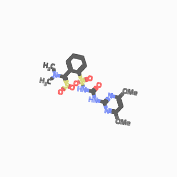 COc1cc(OC)nc(NC(=O)NS(=O)(=O)c2ccccc2C(N(C)C)=S(=O)=O)n1